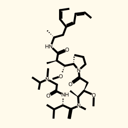 C=C([C@@H](NC(=O)CN(C)C(C)C)C(C)C)N(C)[C@@H](C)[C@@H](CC(=O)N1CCC[C@H]1[C@H](OC)[C@@H](C)C(=O)N[C@H](C)CC(/C=C\C)=C/C=C\C)OC